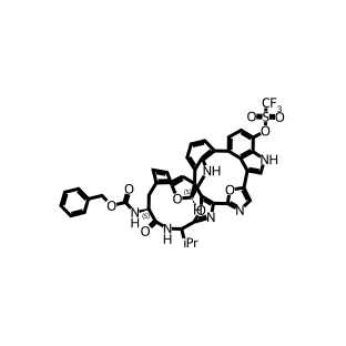 CC(C)C1NC(=O)[C@@H](NC(=O)OCc2ccccc2)Cc2ccc3c(c2)C24c5cccc(c5N[C@H]2O3)-c2ccc(OS(=O)(=O)C(F)(F)F)c3[nH]cc(c23)-c2cnc(o2)-c2nc1oc24